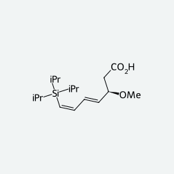 CO[C@@H](/C=C/C=C\[Si](C(C)C)(C(C)C)C(C)C)CC(=O)O